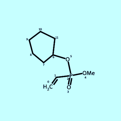 C=CP(=O)(OC)OC1CCCCC1